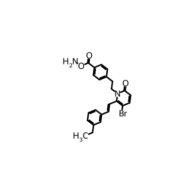 CCc1cccc(/C=C/c2c(Br)ccc(=O)n2CCc2ccc(C(=O)ON)cc2)c1